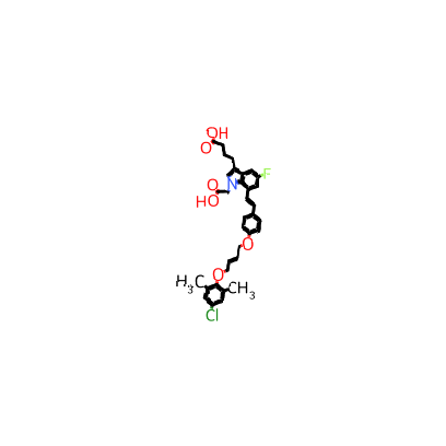 Cc1cc(Cl)cc(C)c1OCC=CCOc1ccc(C=Cc2cc(F)cc3c(CCCC(=O)O)cn(CC(=O)O)c23)cc1